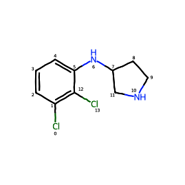 Clc1cccc(NC2CCNC2)c1Cl